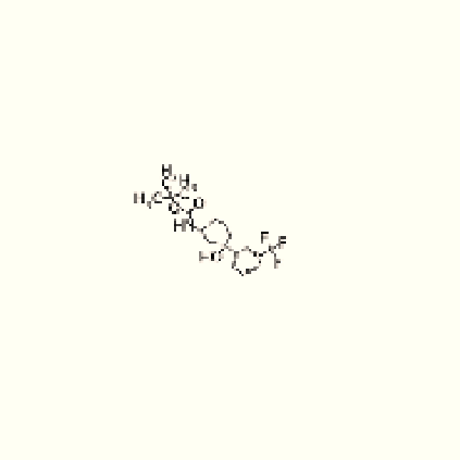 CC(C)(C)OC(=O)NC1CCCC(O)(c2cccc(C(F)(F)F)c2)C1